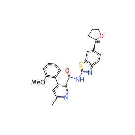 COc1ccccc1-c1cc(C)ncc1C(=O)Nc1nc2ccc([C@H]3CCCO3)cc2s1